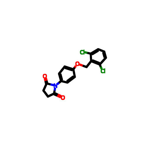 O=C1CCC(=O)N1c1ccc(OCc2c(Cl)cccc2Cl)cc1